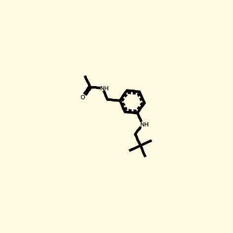 CC(=O)NCc1cccc(NCC(C)(C)C)c1